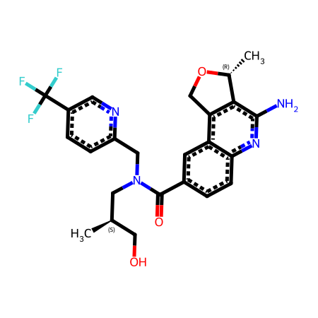 C[C@H](CO)CN(Cc1ccc(C(F)(F)F)cn1)C(=O)c1ccc2nc(N)c3c(c2c1)CO[C@@H]3C